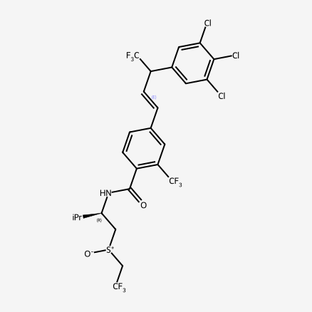 CC(C)[C@H](C[S+]([O-])CC(F)(F)F)NC(=O)c1ccc(/C=C/C(c2cc(Cl)c(Cl)c(Cl)c2)C(F)(F)F)cc1C(F)(F)F